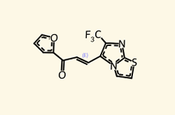 O=C(/C=C/c1c(C(F)(F)F)nc2sccn12)c1ccco1